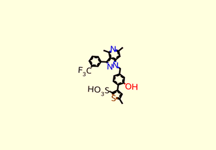 Cc1cc2c(c(C)n1)c(-c1cccc(C(F)(F)F)c1)nn2Cc1ccc(-c2cc(C)sc2S(=O)(=O)O)c(O)c1